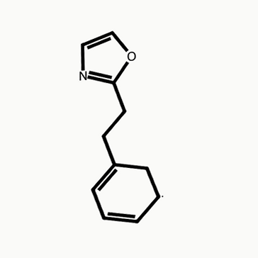 [CH]1C=CC=C(CCc2ncco2)C1